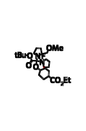 CCOC(=O)C1CCC(OC(C(=O)OC(C)(C)C)(N2CCCC2)N2CCC[C@]2(F)COC)CC1